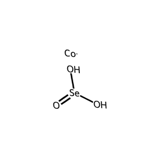 O=[Se](O)O.[Co]